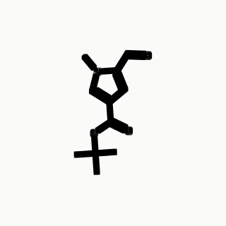 Cn1cc(C(=O)OC(C)(C)C)cc1C=O